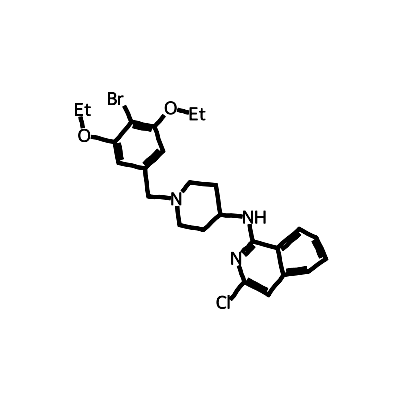 CCOc1cc(CN2CCC(Nc3nc(Cl)cc4ccccc34)CC2)cc(OCC)c1Br